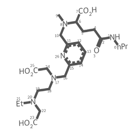 CCCNC(=O)CCC(C(=O)O)N(C)Cc1cccc(CN(CCN(CC)CC(=O)O)CC(=O)O)n1